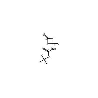 CC1(NC(=O)OC(C)(C)C)CC(=O)C1